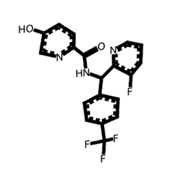 O=C(NC(c1ccc(C(F)(F)F)cc1)c1ncccc1F)c1ccc(O)cn1